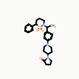 CC(c1ccc(N2CCC(N3CCCC3=O)CC2)cc1F)N1CCCC(c2ccccc2)S1(=O)=O